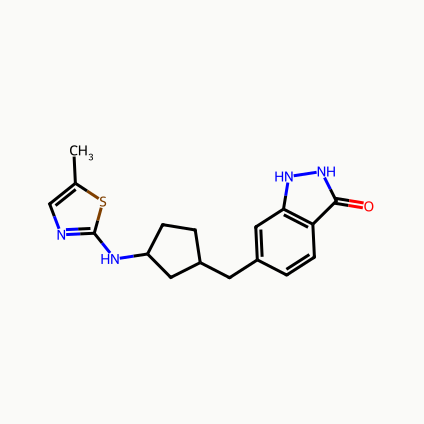 Cc1cnc(NC2CCC(Cc3ccc4c(=O)[nH][nH]c4c3)C2)s1